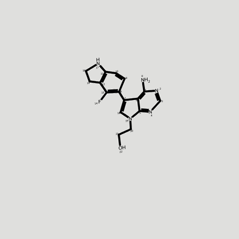 Nc1ncnc2c1c(-c1ccc3c(c1F)CCN3)cn2CCO